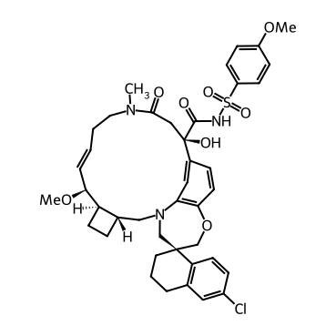 COc1ccc(S(=O)(=O)NC(=O)[C@@]2(O)CC(=O)N(C)CC/C=C/[C@H](OC)[C@@H]3CC[C@H]3CN3C[C@@]4(CCCc5cc(Cl)ccc54)COc4ccc2cc43)cc1